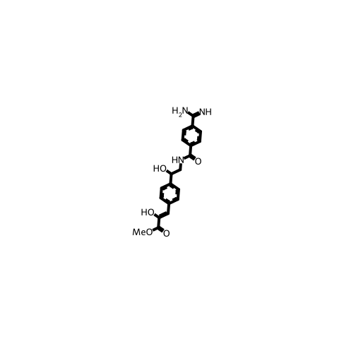 COC(=O)C(O)=Cc1ccc(C(O)CNC(=O)c2ccc(C(=N)N)cc2)cc1